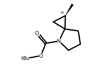 C[C@@H]1CC12CCCN2C(=O)OC(C)(C)C